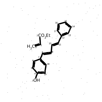 C=CC(=O)OCC.Oc1ccc(C=CC=Cc2ccccc2)cc1